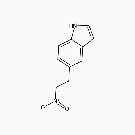 O=[N+]([O-])CCc1ccc2[nH]ccc2c1